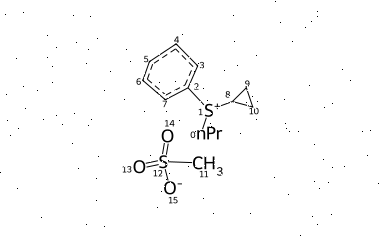 CCC[S+](c1ccccc1)C1CC1.CS(=O)(=O)[O-]